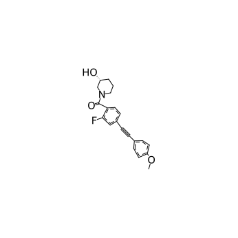 COc1ccc(C#Cc2ccc(C(=O)N3CCC[C@@H](O)C3)c(F)c2)cc1